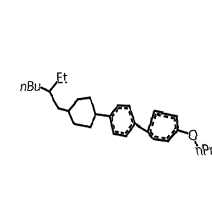 CCCCC(CC)CC1CCC(c2ccc(-c3ccc(OCCC)cc3)cc2)CC1